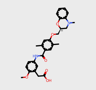 COc1ccc(NC(=O)c2cc(C)c(OC[C@@H]3CN(C)c4ccccc4O3)cc2C)cc1CC(=O)O